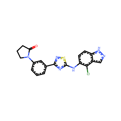 O=C1CCCN1c1cccc(-c2nsc(Nc3ccc4[nH]ncc4c3Cl)n2)c1